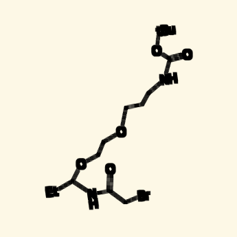 CCC(NC(=O)CBr)OCCOCCCNC(=O)OC(C)(C)C